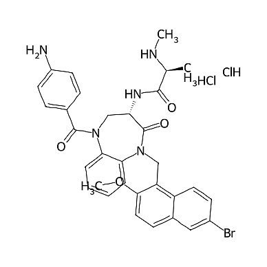 CN[C@@H](C)C(=O)N[C@H]1CN(C(=O)c2ccc(N)cc2)c2ccccc2N(Cc2c(OC)ccc3cc(Br)ccc23)C1=O.Cl.Cl